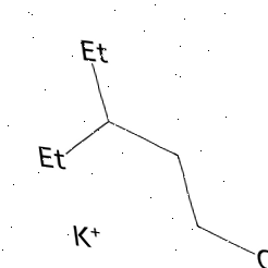 CCC(CC)CC[O-].[K+]